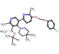 CCC(C)(C)O[C@H](C(=O)O)c1c(C)ncc(-c2ccc(OCCc3ccc(F)cc3)c(C)n2)c1N1CCC(C)(C)CC1